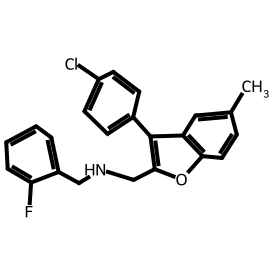 Cc1ccc2oc(CNCc3ccccc3F)c(-c3ccc(Cl)cc3)c2c1